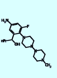 CCCC(O)c1cc(N)cc(F)c1N1CCN(N2CCN(C)CC2)CC1